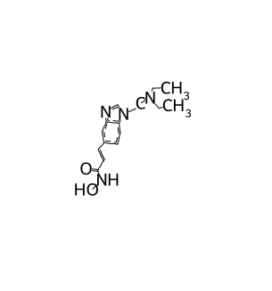 CCN(CC)CCn1cnc2cc(/C=C/C(=O)NO)ccc21